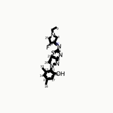 CCN1C/C(=N/c2nc3nn(-c4c(C)cc(C)cc4O)cc3s2)[C@@H](F)C1